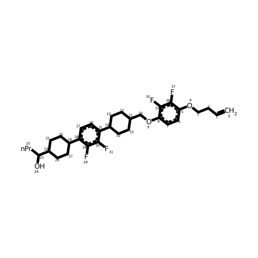 C=CCCOc1ccc(OCC2CCC(c3ccc(C4CCC(C(O)CCC)CC4)c(F)c3F)CC2)c(F)c1F